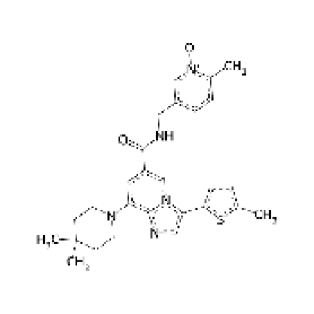 Cc1ccc(-c2cnc3c(N4CCC(C)(C)CC4)cc(C(=O)NCc4ccc(C)[n+]([O-])c4)cn23)s1